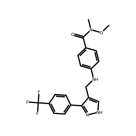 CON(C)C(=O)c1ccc(NCc2c[nH]nc2-c2ccc(C(F)(F)F)cc2)cc1